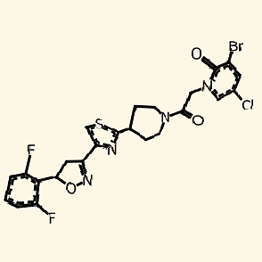 O=C(Cn1cc(Cl)cc(Br)c1=O)N1CCC(c2nc(C3=NOC(c4c(F)cccc4F)C3)cs2)CC1